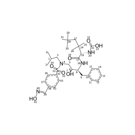 CC(C)CN(C[C@H](O)[C@H](Cc1ccccc1)NC(=O)[C@@H](NC(=O)O)C(C)(C)CC(C)(C)C)S(=O)(=O)c1ccc(C=NO)cc1